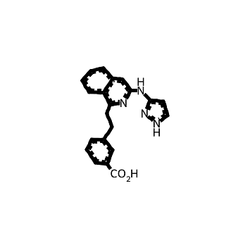 O=C(O)c1cccc(CCc2nc(Nc3cc[nH]n3)cc3ccccc23)c1